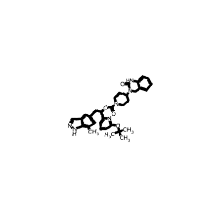 Cc1cc(CC(OC(=O)N2CCC(N3Cc4ccccc4NC3=O)CC2)c2cccc(OC(C)(C)C)n2)cc2cn[nH]c12